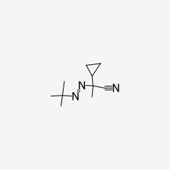 CC(C)(C)/N=N/C(C)(C#N)C1CC1